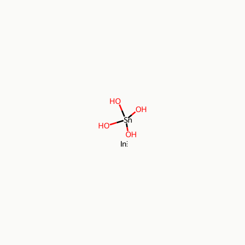 [In].[OH][Sn]([OH])([OH])[OH]